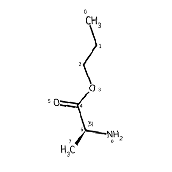 CCCOC(=O)[C@H](C)N